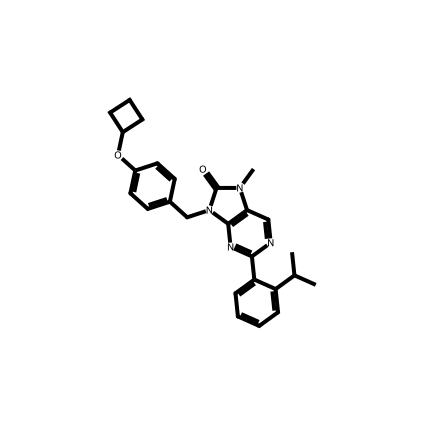 CC(C)c1ccccc1-c1ncc2c(n1)n(Cc1ccc(OC3CCC3)cc1)c(=O)n2C